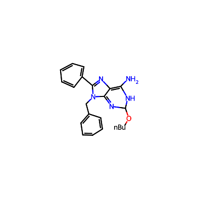 CCCCOC1N=c2c(nc(-c3ccccc3)n2Cc2ccccc2)=C(N)N1